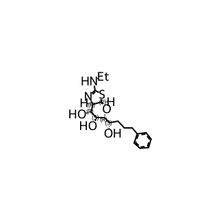 CCNC1=N[C@@H]2[C@@H](O)[C@H](O)[C@@H]([C@@H](O)CCCc3ccccc3)O[C@@H]2S1